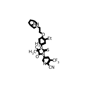 CCc1cc(N2C(=S)N(c3cnc(C#N)c(C(F)(F)F)c3)C(=O)C2(C)C)ccc1OCCN1CC2CCC(C1)N2